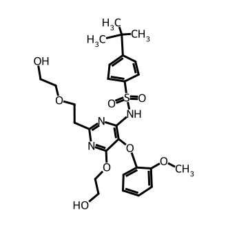 COc1ccccc1Oc1c(NS(=O)(=O)c2ccc(C(C)(C)C)cc2)nc(CCOCCO)nc1OCCO